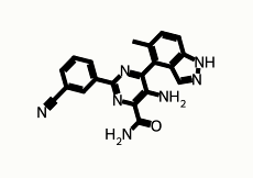 Cc1ccc2[nH]ncc2c1-c1nc(-c2cccc(C#N)c2)nc(C(N)=O)c1N